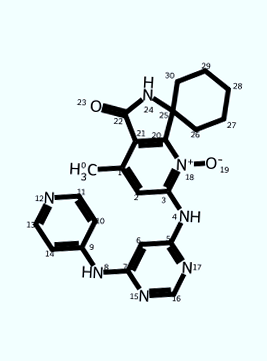 Cc1cc(Nc2cc(Nc3ccncc3)ncn2)[n+]([O-])c2c1C(=O)NC21CCCCC1